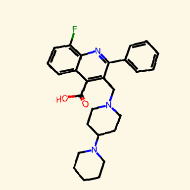 O=C(O)c1c(CN2CCC(N3CCCCC3)CC2)c(-c2ccccc2)nc2c(F)cccc12